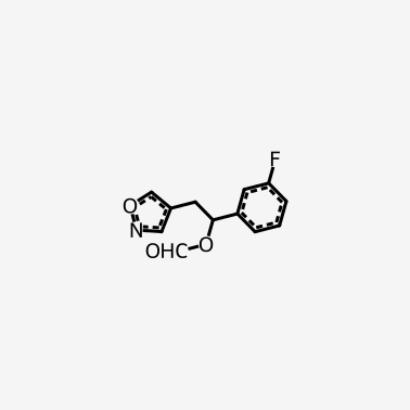 O=COC(Cc1cnoc1)c1cccc(F)c1